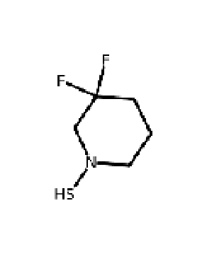 FC1(F)CCCN(S)C1